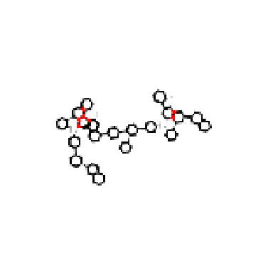 c1ccc(-c2cc(-c3ccc(N(c4ccc5oc6ccccc6c5c4)c4ccccc4-c4cccc5c4oc4c6ccccc6ccc54)cc3)ccc2-c2ccc(-c3cccc4c3ccc3c5cccc(-c6ccccc6N(c6ccc(-c7cccc(-c8ccc9ccccc9c8)c7)cc6)c6ccc7oc8ccccc8c7c6)c5oc43)cc2)cc1